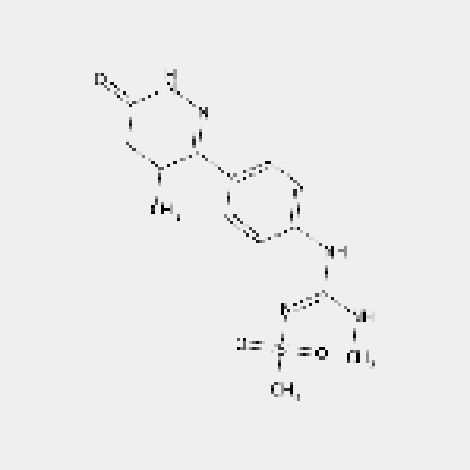 CNC(=NS(C)(=O)=O)Nc1ccc(C2=NNC(=O)CC2C)cc1